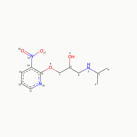 CC(C)NCC(O)COc1ncccc1[N+](=O)[O-]